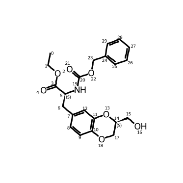 CCOC(=O)[C@H](Cc1ccc2c(c1)O[C@@H](CO)CO2)NC(=O)OCc1ccccc1